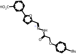 CC(C)(C)c1ccc(OCC(=O)N/N=C/c2ccc(-c3cccc(C(=O)O)c3)o2)cc1